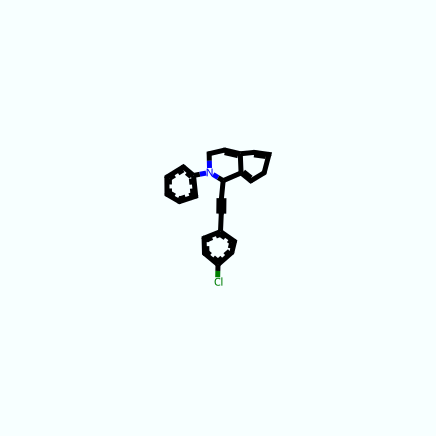 Clc1ccc(C#CC2C3=CCC=CC3=CCN2c2ccccc2)cc1